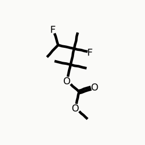 COC(=O)OC(C)(C)C(C)(F)C(C)F